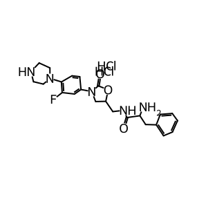 Cl.Cl.NC(Cc1ccccc1)C(=O)NCC1CN(c2ccc(N3CCNCC3)c(F)c2)C(=O)O1